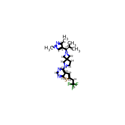 Cc1nn(C)cc1[C@@H](C(C)C)N1CC2(CCN(c3ncnc4sc(CC(F)(F)F)cc34)C2)C1